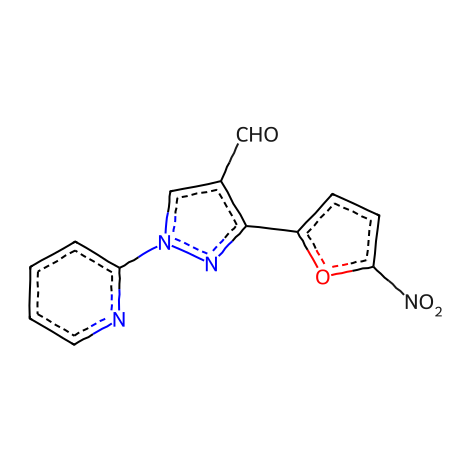 O=Cc1cn(-c2ccccn2)nc1-c1ccc([N+](=O)[O-])o1